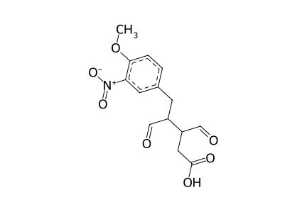 COc1ccc(CC(C=O)C(C=O)CC(=O)O)cc1[N+](=O)[O-]